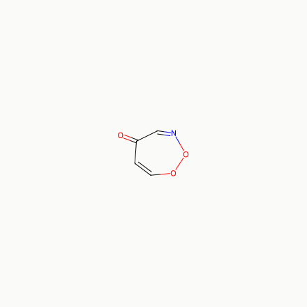 O=C1C=COON=C1